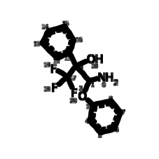 NC(Oc1ccccc1)C(O)(c1ccccc1)C(F)(F)F